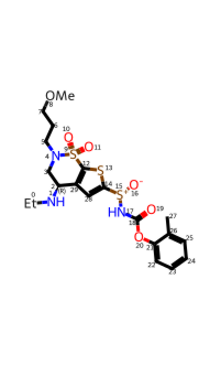 CCN[C@H]1CN(CCCOC)S(=O)(=O)c2sc([S+]([O-])NC(=O)Oc3ccccc3C)cc21